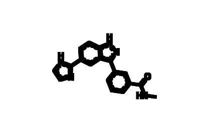 CNC(=O)c1cccc(-c2n[nH]c3ccc(-c4ncc[nH]4)cc23)c1